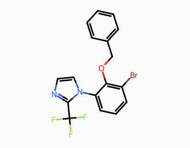 FC(F)(F)c1nccn1-c1cccc(Br)c1OCc1ccccc1